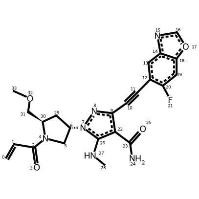 C=CC(=O)N1C[C@@H](n2nc(C#Cc3cc4ncoc4cc3F)c(C(N)=O)c2NC)C[C@@H]1COC